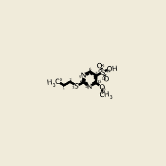 CCCSc1ncc(S(=O)(=O)O)c(OC)n1